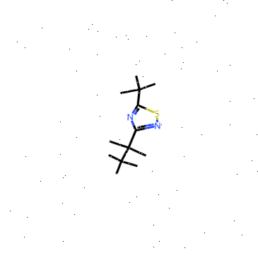 CC(C)(C)c1nc(C(C)(C)C(C)(C)C)ns1